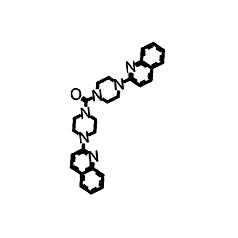 O=C(N1CCN(c2ccc3ccccc3n2)CC1)N1CCN(c2ccc3ccccc3n2)CC1